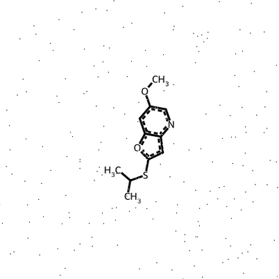 COc1cnc2cc(SC(C)C)oc2c1